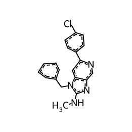 CNc1nc2cnc(-c3ccc(Cl)cc3)cc2n1Cc1ccccc1